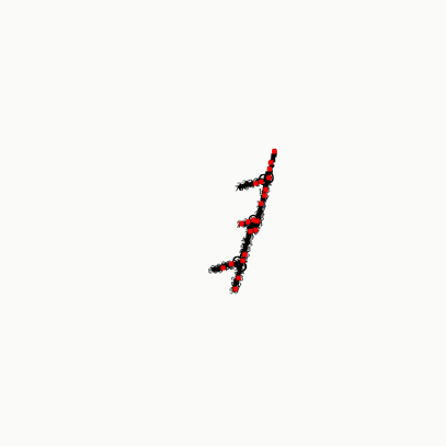 CCCCCCCCCOC(CCCCCCCCCCCCCC(CCCC)OC(CCCC)CCCCCCCCCCCCCC(OCCCCCCCCC)OCCCCCCCCC)OCCCCCCCCC